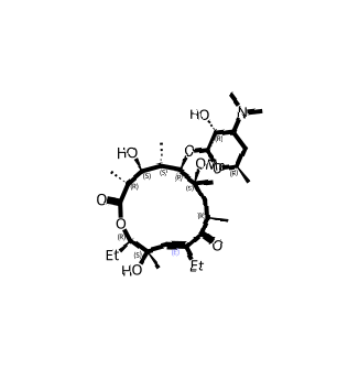 CC/C1=C\[C@](C)(O)[C@@H](CC)OC(=O)[C@H](C)[C@@H](O)[C@H](C)[C@@H](OC2O[C@H](C)CC(N(C)C)[C@H]2O)[C@@](C)(OC)C[C@@H](C)C1=O